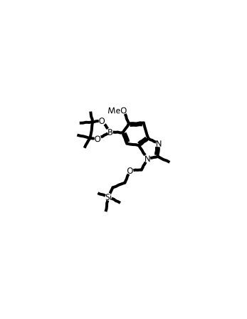 COc1cc2nc(C)n(COCC[Si](C)(C)C)c2cc1B1OC(C)(C)C(C)(C)O1